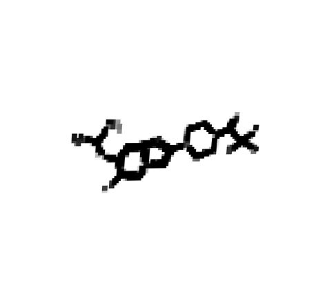 CC(C)Oc1cc2nc(N3CCN(C(=O)C(F)(F)F)CC3)cn2cc1Br